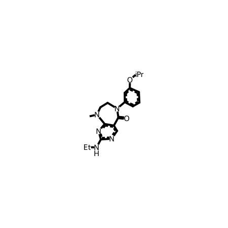 [CH2]C(C)Oc1cccc(N2CCN(C)c3nc(NCC)ncc3C2=O)c1